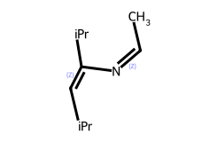 C/C=N\C(=C/C(C)C)C(C)C